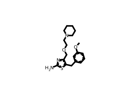 COc1cccc(Cc2sc(N)nc2COCCN2CCCCC2)c1